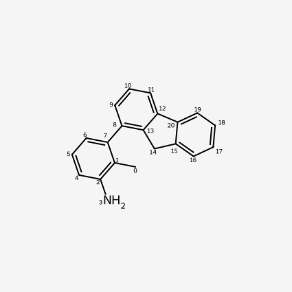 Cc1c(N)cccc1-c1cccc2c1Cc1ccccc1-2